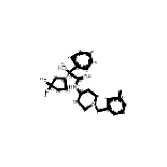 Cc1cccc(CN2CCC(NC(=O)C(O)(c3ccccc3)[C@@H]3CCC(F)(F)C3)CC2)c1